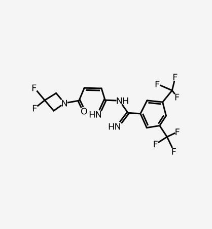 N=C(/C=C\C(=O)N1CC(F)(F)C1)NC(=N)c1cc(C(F)(F)F)cc(C(F)(F)F)c1